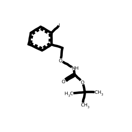 CC(C)(C)OC(=O)NOCc1ccccc1I